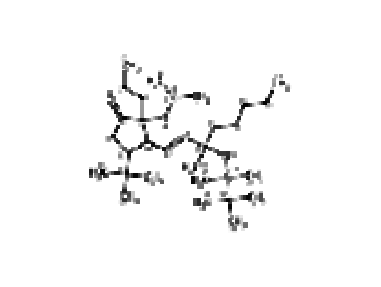 C=CCC1(O[SiH](C)C)C(=O)CC(C(C)(C)C)C1C=CC(C)(CCCCC)O[Si](C)(C)C(C)(C)C